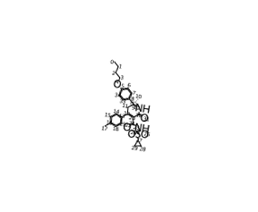 CCCCOc1ccc([C@]2(C)CC(c3ccc(C)cc3)=C(C(=O)NS(=O)(=O)C3CC3)C(=O)N2)cc1